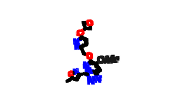 COc1cc2nnc(-c3cc(C)on3)n2nc1OCc1ccc(OC2COC2)nn1